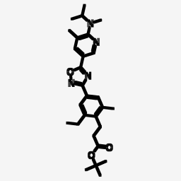 CCc1cc(-c2noc(-c3cnc(N(C)C(C)C)c(C)c3)n2)cc(C)c1CCC(=O)OC(C)(C)C